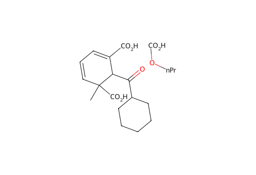 CC1(C(=O)O)C=CC=C(C(=O)O)C1C(=O)C1CCCCC1.CCCOC(=O)O